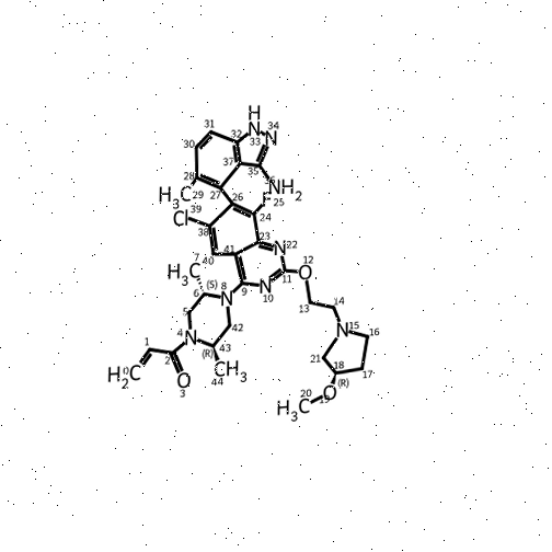 C=CC(=O)N1C[C@H](C)N(c2nc(OCCN3CC[C@@H](OC)C3)nc3c(F)c(-c4c(C)ccc5[nH]nc(N)c45)c(Cl)cc23)C[C@H]1C